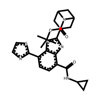 CC(C)(C)OC(=O)N1C2CC1CN(c1nc3c(C(=O)NC4CC4)ccc(-c4nccs4)c3o1)C2